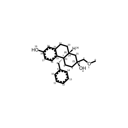 COC[C@]1(O)CC[C@@]2(Cc3ccccc3)c3ccc(O)cc3CC[C@@H]2C1